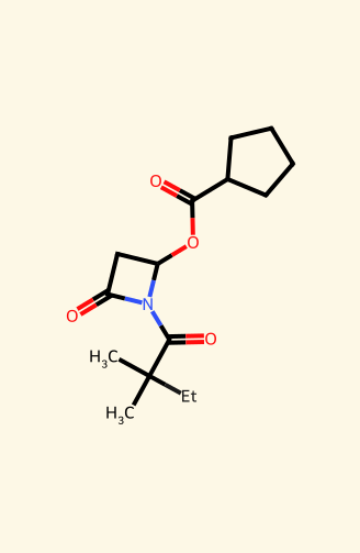 CCC(C)(C)C(=O)N1C(=O)CC1OC(=O)C1CCCC1